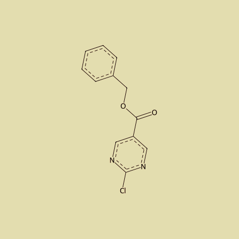 O=C(OCc1ccccc1)c1cnc(Cl)nc1